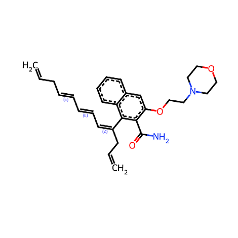 C=CC/C=C/C=C/C=C(/CC=C)c1c(C(N)=O)c(OCCN2CCOCC2)cc2ccccc12